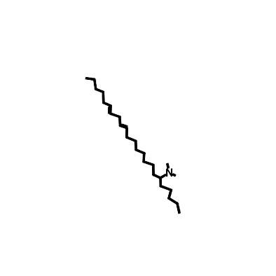 CCCCCC=CCC=CCCCCCCCC(CCCCC)N(C)C